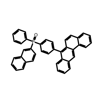 O=P(c1ccccc1)(c1ccc(-c2c3ccccc3cc3c2ccc2ccccc23)cc1)c1ccc2ccccc2c1